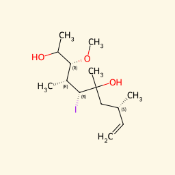 C=C[C@@H](C)CC(C)(O)[C@H](I)[C@H](C)[C@@H](OC)C(C)O